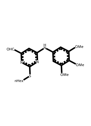 CCCCCCSc1nc(C=O)cc(Nc2cc(OC)c(OC)c(OC)c2)n1